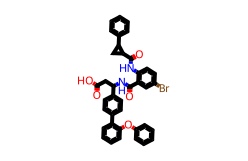 O=C(O)CC(NC(=O)c1cc(Br)ccc1NC(=O)C1CC1c1ccccc1)c1ccc(-c2ccccc2Oc2ccccc2)cc1